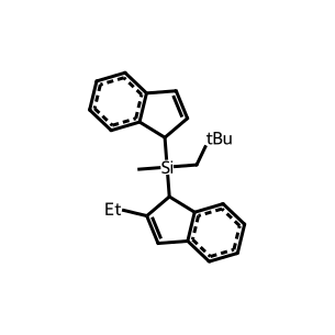 CCC1=Cc2ccccc2C1[Si](C)(CC(C)(C)C)C1C=Cc2ccccc21